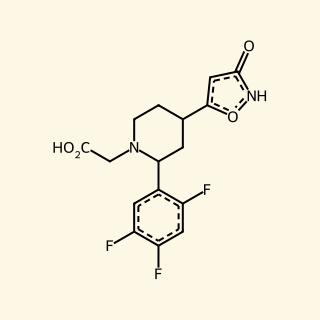 O=C(O)CN1CCC(c2cc(=O)[nH]o2)CC1c1cc(F)c(F)cc1F